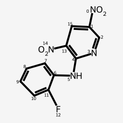 O=[N+]([O-])c1cnc(Nc2ccccc2F)c([N+](=O)[O-])c1